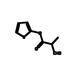 CC(C=O)C(=O)Oc1cccs1